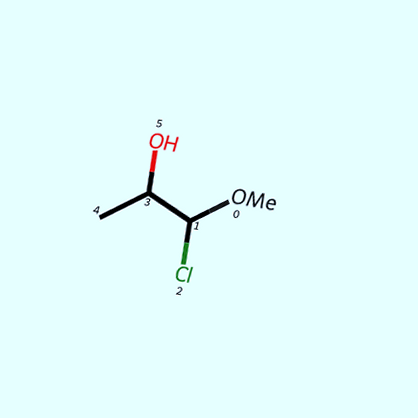 COC(Cl)C(C)O